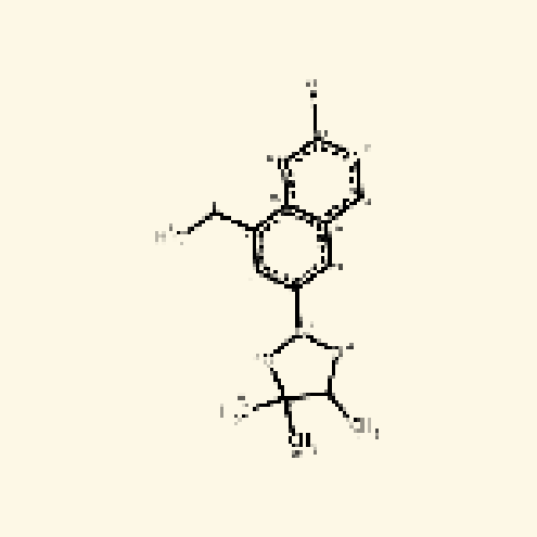 CCc1cc(B2OC(C)C(C)(C)O2)cc2cnc(F)nc12